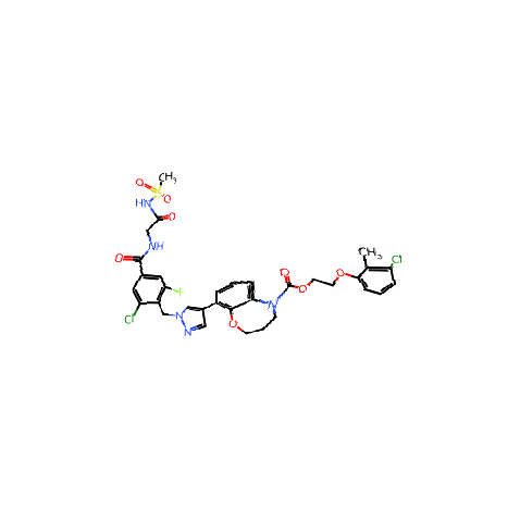 Cc1c(Cl)cccc1OCCOC(=O)N1CCCOc2c(-c3cnn(Cc4c(F)cc(C(=O)NCC(=O)NS(C)(=O)=O)cc4Cl)c3)cccc21